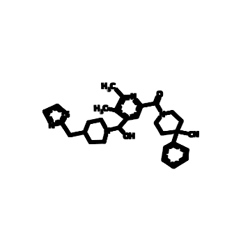 Cc1nc(C(=O)N2CCC(C#N)(c3ccccc3)CC2)cc(C(O)N2CCC(Cc3nccs3)CC2)c1C